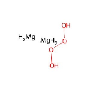 OOOO.[MgH2].[MgH2]